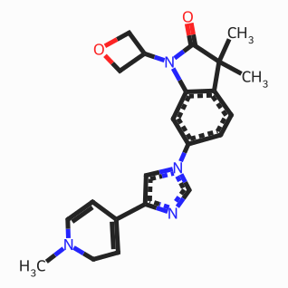 CN1C=CC(c2cn(-c3ccc4c(c3)N(C3COC3)C(=O)C4(C)C)cn2)=CC1